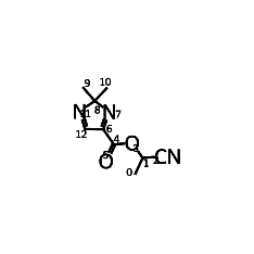 CC(C#N)OC(=O)C1=NC(C)(C)N=C1